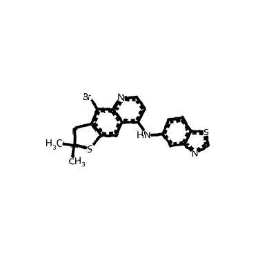 CC1(C)Cc2c(cc3c(Nc4ccc5scnc5c4)ccnc3c2Br)S1